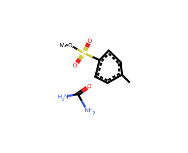 COS(=O)(=O)c1ccc(C)cc1.NC(N)=O